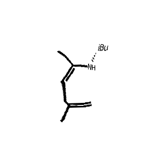 C=C(C)/C=C(/C)N[C@@H](C)CC